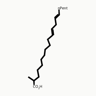 CCCCCC=CCC=CCCCCCCCCC(C)C(=O)O